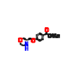 COC(=O)c1ccc(OC[C@@H]2COCCN2)cc1